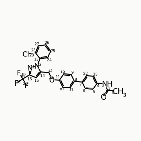 CC(=O)Nc1ccc(-c2ccc(OCc3cc(C(F)(F)F)nn3-c3ccccc3Cl)cc2)cc1